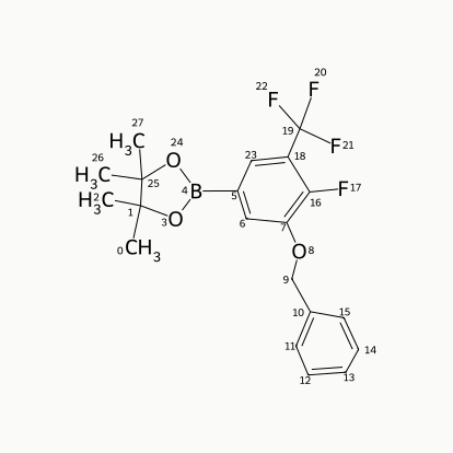 CC1(C)OB(c2cc(OCc3ccccc3)c(F)c(C(F)(F)F)c2)OC1(C)C